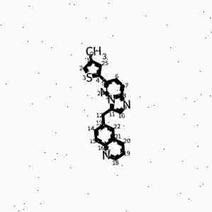 Cc1csc(-c2ccc3ncc(Cc4ccc5ncccc5c4)n3n2)c1